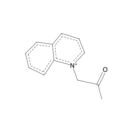 CC(=O)C[n+]1cccc2ccccc21